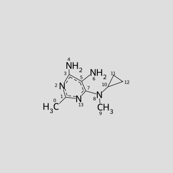 Cc1nc(N)c(N)c(N(C)C2CC2)n1